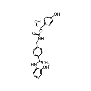 C=C(Nc1ccccc1O)c1ccc(CNC(=O)O[C@H](CO)c2ccc(O)cc2)cc1